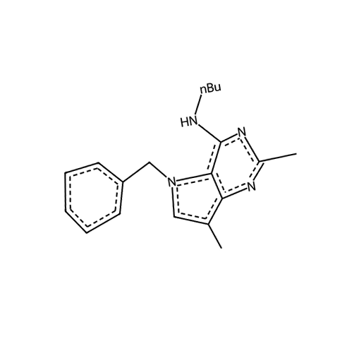 CCCCNc1nc(C)nc2c(C)cn(Cc3ccccc3)c12